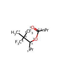 CCCC(=O)OC(C(C)C)C(C)(C(F)(F)F)C(F)(F)F